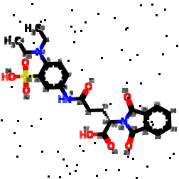 CCN(CC)c1ccc(NC(=O)CC[C@@H](C(=O)O)N2C(=O)c3ccccc3C2=O)cc1S(=O)(=O)O